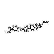 COCCNS(=O)(=O)c1ccc(-c2ccc(OCC3CCN(C(=O)OC(C)C)CC3)cn2)c(F)c1